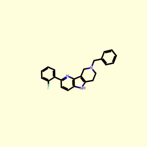 Fc1ccccc1-c1ccc2[nH]c3c(c2n1)CN(Cc1ccccc1)CC3